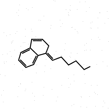 CCCCCC=C1CC=Cc2ccccc21